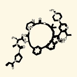 C=CC(=O)N1CC[C@H](C(=O)N(C)[C@H](C(=O)N[C@H]2Cc3cccc(c3)-c3ccc4c(c3)c(c(-c3cc(N5CCN(CCC)CC5)cnc3[C@H](C)OC)n4CC)CC(C)(C)COC(=O)[C@@H]3CCCN(N3)C2=O)C(C)C)C1